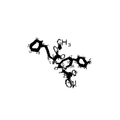 CCOC(=O)[C@H](CCc1ccccc1)NC1CCC(c2ccc(F)cc2)CN(CC(=O)O)C1=O